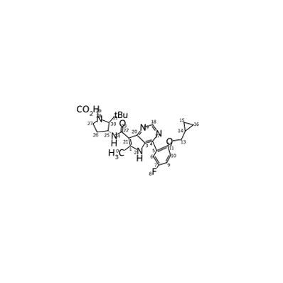 Cc1[nH]c2c(-c3cc(F)ccc3OCC3CC3)ncnc2c1C(=O)N[C@@H]1CCN(C(=O)O)C1C(C)(C)C